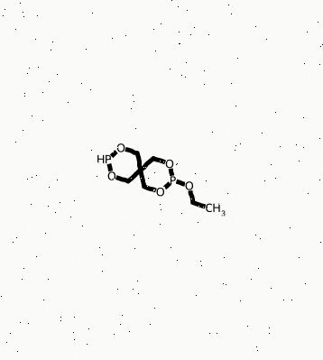 CCOP1OCC2(COPOC2)CO1